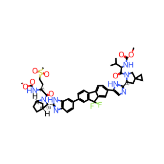 COC(=O)NC(C(=O)N1CC2(CC2)C[C@H]1c1ncc(-c2ccc3c(c2)C(F)(F)c2cc(-c4ccc5nc([C@@H]6[C@H]7CC[C@H](C7)N6C(=O)[C@H](CCS(C)(=O)=O)NC(=O)OC)[nH]c5c4)ccc2-3)[nH]1)C(C)C